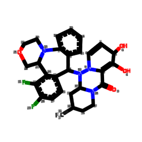 O=C1C2=C(O)C(O)C=CN2N(C2c3ccccc3N3CCOCC3c3c2ccc(F)c3F)C2CC(C(F)(F)F)CCN12